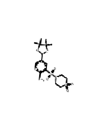 CC1(C)OB(c2cnc(N)c(S(=O)(=O)N3CCS(=O)(=O)CC3)c2)OC1(C)C